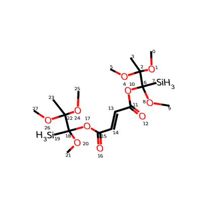 COC(C)(OC)C([SiH3])(OC)OC(=O)C=CC(=O)OC([SiH3])(OC)C(C)(OC)OC